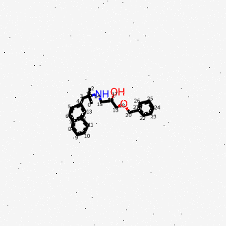 CC(C)(Cc1ccc2ccccc2c1)NC[C@@H](O)COCc1ccccc1